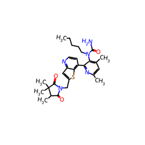 CCCCCN(C(N)=O)c1c(C)cc(C)nc1-c1ccnc2cc(CN3C(=O)C(C)C(C)(C)C3=O)sc12